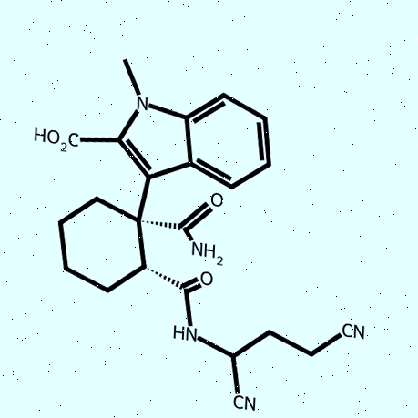 Cn1c(C(=O)O)c([C@]2(C(N)=O)CCCC[C@H]2C(=O)NC(C#N)CCC#N)c2ccccc21